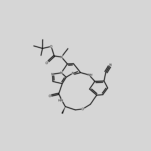 C[C@@H]1COCc2ccc(C#N)c(c2)Nc2cc(N(C)C(=O)OC(C)(C)C)n3ncc(c3n2)C(=O)N1